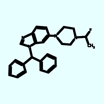 CC(F)N1CCN(c2ccc3ncn(C(c4ccccc4)c4ccccc4)c3c2)CC1